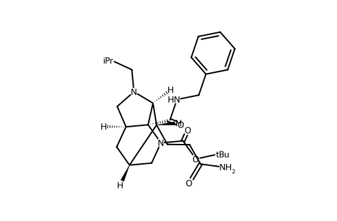 CC(C)CN1C[C@@H]2C[C@H]3CN(C(=O)OC(C)(C)C)[C@]2(C(=O)NCc2ccccc2)[C@@H]1[C@@H]3CCC(N)=O